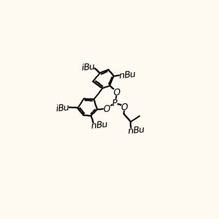 CCCCc1cc(C(C)CC)cc2c1op(OCC(C)CCCC)oc1c(CCCC)cc(C(C)CC)cc12